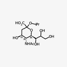 CC(=O)N[C@@H]1[C@@H](O)CC(OC(C)C)(C(=O)O)O[C@H]1C(O)C(O)CO